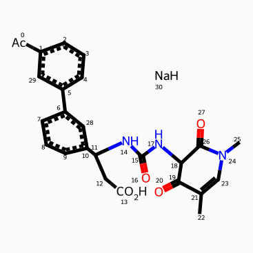 CC(=O)c1cccc(-c2cccc(C(CC(=O)O)NC(=O)NC3C(=O)C(C)=CN(C)C3=O)c2)c1.[NaH]